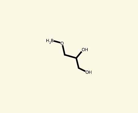 BOCC(O)CO